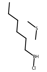 CCCCCCBCl.CSC